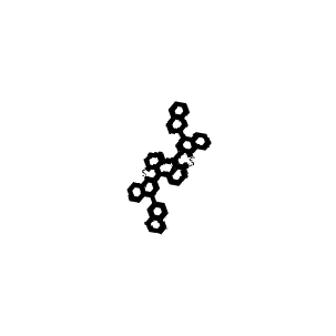 c1ccc2cc(-c3cc4c(sc5cccc6c5c4c4cccc5sc7c8ccccc8c(-c8ccc9ccccc9c8)cc7c6c54)c4ccccc34)ccc2c1